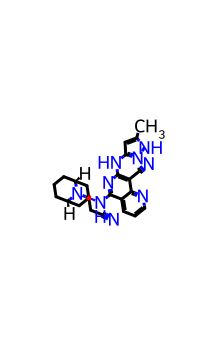 Cc1cc(Nc2nc(N[C@@H]3C[C@H]4CCC[C@@H](C3)N4CCC#N)c3cccnc3c2C#N)n[nH]1